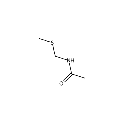 CSCNC(C)=O